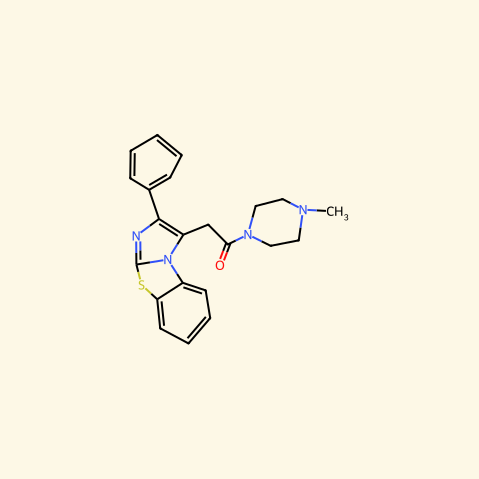 CN1CCN(C(=O)Cc2c(-c3ccccc3)nc3sc4ccccc4n23)CC1